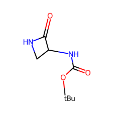 CC(C)(C)OC(=O)NC1CNC1=O